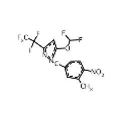 Cc1cc(Cn2nc(C(F)(F)C(F)(F)F)cc2OC(F)F)ccc1[N+](=O)[O-]